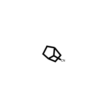 N#CC1C2CCC1CC2